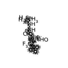 C[N+](C)(C)CC(=O)NCCCNC(=O)c1ccc(Nc2nccn3c(-c4cn(C(c5ccccc5)(c5ccccc5)c5ccccc5)nc4C(F)(F)F)cnc23)cc1Cl.O=C[O-]